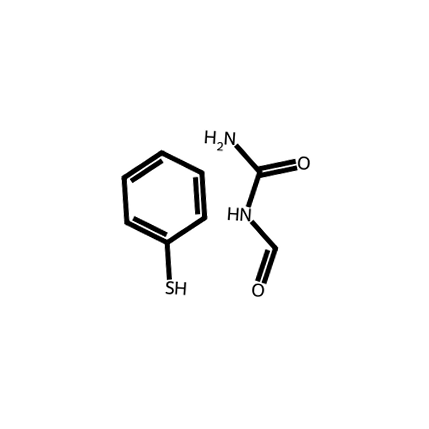 NC(=O)NC=O.Sc1ccccc1